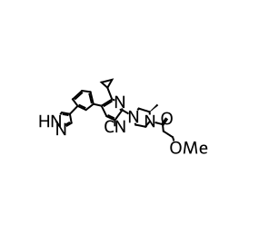 COCCC(=O)N1CCN(c2nc(C3CC3)c(-c3cccc(-c4cn[nH]c4)c3)cc2C#N)C[C@H]1C